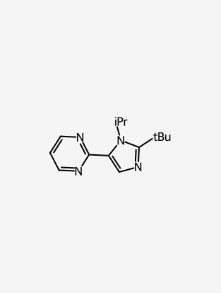 CC(C)n1c(-c2ncccn2)cnc1C(C)(C)C